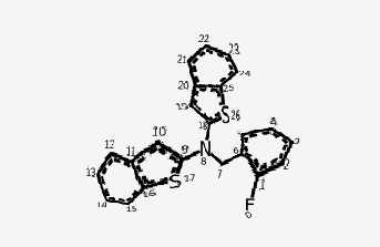 Fc1ccccc1CN(c1cc2ccccc2s1)c1cc2ccccc2s1